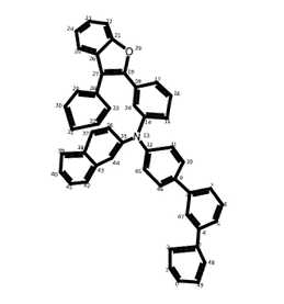 c1ccc(-c2cccc(-c3ccc(N(c4cccc(-c5oc6ccccc6c5-c5ccccc5)c4)c4ccc5ccccc5c4)cc3)c2)cc1